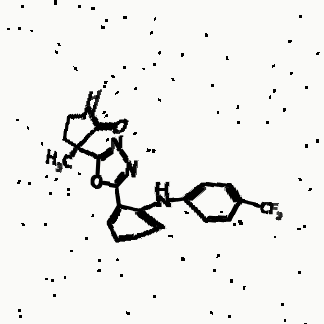 C[C@@]1(c2nnc(-c3ccccc3Nc3ccc(C(F)(F)F)cc3)o2)CCNC1=O